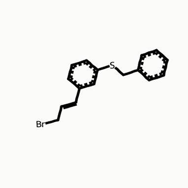 BrCC=Cc1cccc(SCc2ccccc2)c1